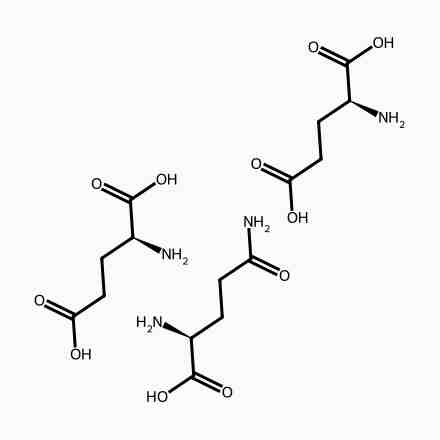 NC(=O)CC[C@H](N)C(=O)O.N[C@@H](CCC(=O)O)C(=O)O.N[C@@H](CCC(=O)O)C(=O)O